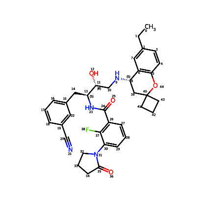 CCc1ccc2c(c1)[C@@H](NC[C@@H](O)[C@H](Cc1cccc(C#N)c1)NC(=O)c1cccc(N3CCCC3=O)c1F)CC1(CCC1)O2